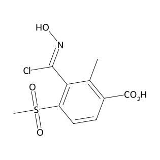 Cc1c(C(=O)O)ccc(S(C)(=O)=O)c1C(Cl)=NO